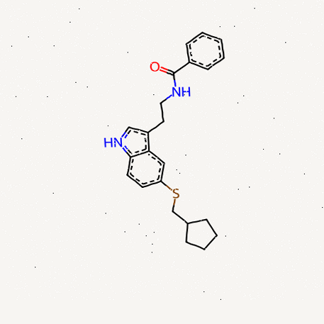 O=C(NCCc1c[nH]c2ccc(SCC3CCCC3)cc12)c1ccccc1